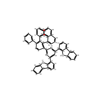 c1ccc(-c2ccc(-c3nc(-c4cccc5c4oc4ccccc45)cc(-c4cccc5c4oc4ccccc45)n3)c(-c3cccc4ccccc34)c2-c2ccccc2)cc1